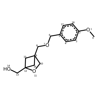 COc1ccc(COCC23COC(CO)(C2)C3)cc1